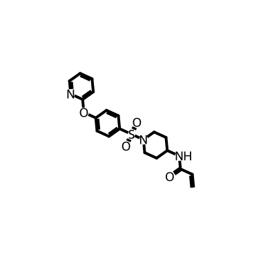 C=CC(=O)NC1CCN(S(=O)(=O)c2ccc(Oc3ccccn3)cc2)CC1